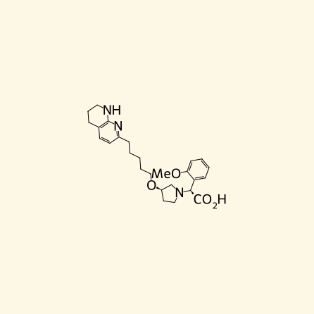 COc1ccccc1[C@@H](C(=O)O)N1CC[C@@H](OCCCCCc2ccc3c(n2)NCCC3)C1